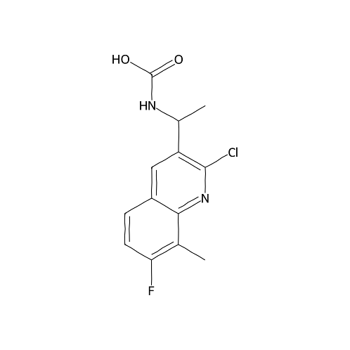 Cc1c(F)ccc2cc(C(C)NC(=O)O)c(Cl)nc12